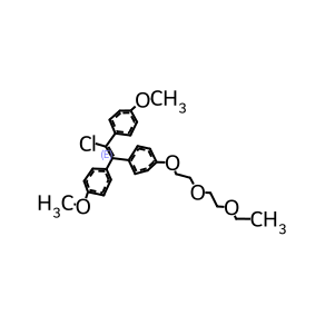 CCOCCOCCOc1ccc(/C(=C(/Cl)c2ccc(OC)cc2)c2ccc(OC)cc2)cc1